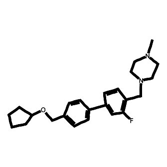 CN1CCN(Cc2ccc(-c3ccc(COC4CCCC4)cc3)cc2F)CC1